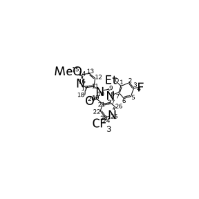 CCc1cc(F)ccc1N1CN(c2ccc(OC)nc2C)C(=O)c2cc(C(F)(F)F)ncc21